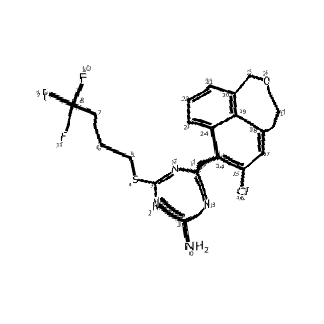 Nc1nc(SCCCC(F)(F)F)nc(-c2c(Cl)cc3c4c(cccc24)COC3)n1